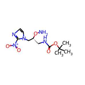 CC(C)(C)OC(=O)NC[C@H](Cn1ccnc1[N+](=O)[O-])ON